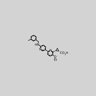 CCOc1ccc(-c2ccc(NCc3cccc(C)c3)nc2)nc1[C@H]1C[C@@H]1C(=O)O